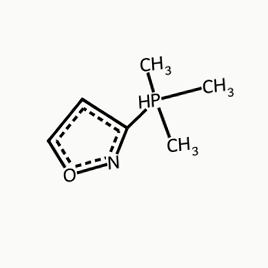 C[PH](C)(C)c1ccon1